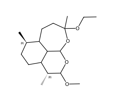 CCOC1(C)CCC2C3C(OC(OC)[C@H](C)C3CC[C@H]2C)O1